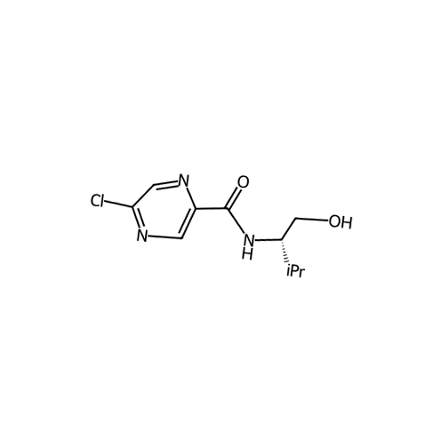 CC(C)[C@@H](CO)NC(=O)c1cnc(Cl)cn1